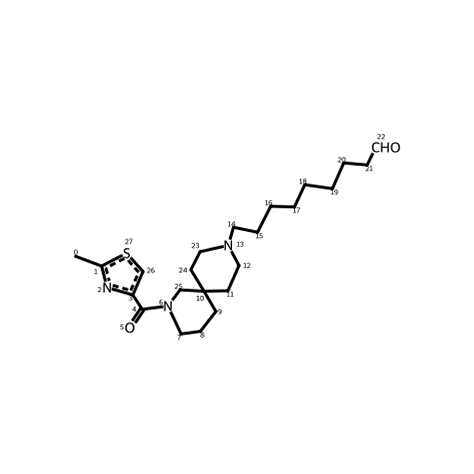 Cc1nc(C(=O)N2CCCC3(CCN(CCCCCCCCC=O)CC3)C2)cs1